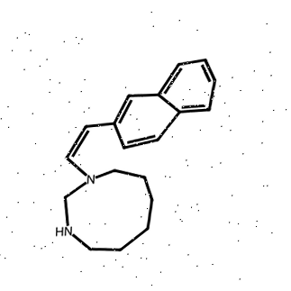 C(=C/N1CCCCCCNC1)/c1ccc2ccccc2c1